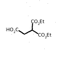 CCOC(=O)C(CC(=O)O)C(=O)OCC